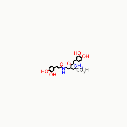 N[C@@H](CC(CCNC(=O)C=Cc1ccc(O)c(O)c1)C(=O)C=Cc1ccc(O)c(O)c1)C(=O)O